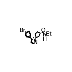 CCNC(=O)[C@H]1CC[C@@H](n2nccc2-c2ccc(Br)cc2)C1